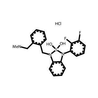 CNCc1ccccc1CN1c2ccccc2N(c2cccc(F)c2F)S1(O)O.Cl